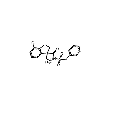 CCC1(C(=O)NS(=O)(=O)Cc2ccccc2)CCc2c(Cl)cccc21